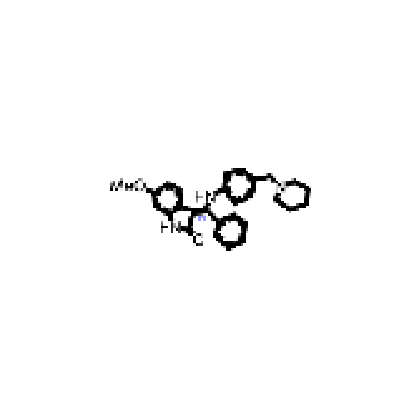 COc1ccc2c(c1)NC(=O)/C2=C(/Nc1ccc(CN2CCCCC2)cc1)c1ccccc1